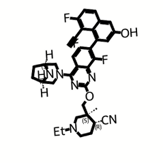 C#Cc1c(F)ccc2cc(O)cc(-c3c(F)cc4c(N5C[C@H]6CC[C@@H](C5)N6)nc(OC[C@]5(C)CN(CC)CC[C@H]5C#N)nc4c3F)c12